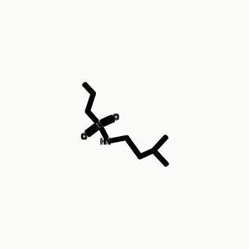 CCCS(=O)(=O)NCCC(C)C